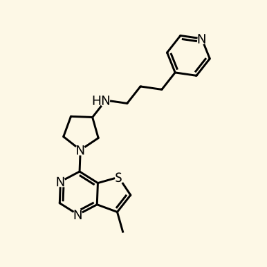 Cc1csc2c(N3CCC(NCCCc4ccncc4)C3)ncnc12